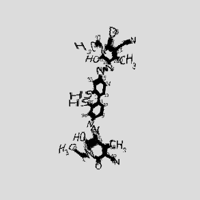 CCn1c(O)c(N=Nc2ccc(-c3ccc(N=Nc4c(C)c(C#N)c(=O)n(CC)c4O)cc3S)c(S)c2)c(C)c(C#N)c1=O